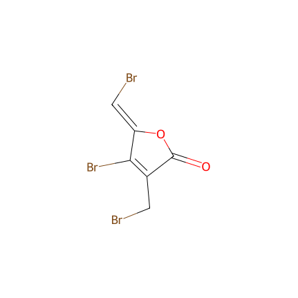 O=C1OC(=CBr)C(Br)=C1CBr